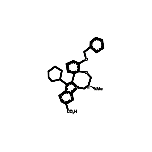 CN[C@H]1COc2c(OCc3ccccc3)cccc2-c2c(C3CCCCC3)c3ccc(C(=O)O)cc3n2C1